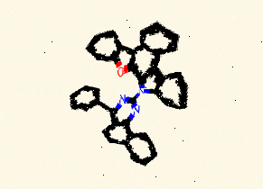 c1ccc(-c2nc(-n3c4ccccc4c4c5ccccc5c5c6ccccc6oc5c43)nc3c2ccc2ccccc23)cc1